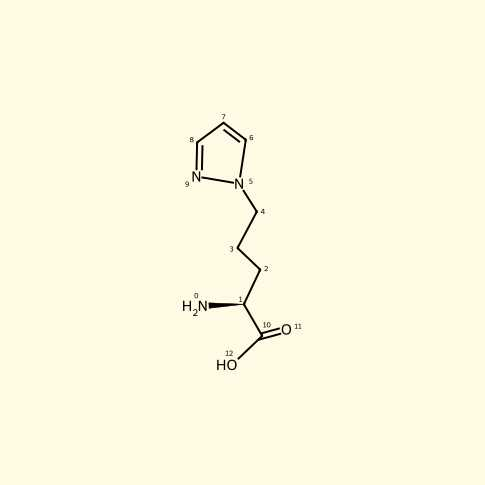 N[C@@H](CCCn1cccn1)C(=O)O